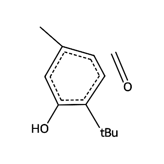 C=O.Cc1ccc(C(C)(C)C)c(O)c1